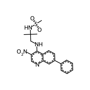 CC(C)(CNc1c([N+](=O)[O-])cnc2cc(-c3ccccc3)ccc12)NS(C)(=O)=O